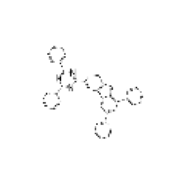 c1ccc(-c2cc(-c3ccccc3)c3sc4ccc(-c5nc(-c6ccccc6)nc(-c6ccccc6)n5)cc4c3c2)cc1